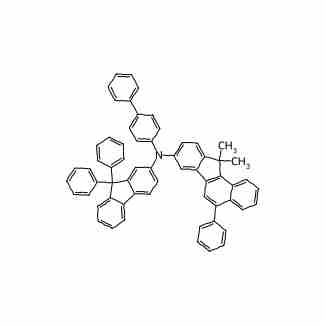 CC1(C)c2ccc(N(c3ccc(-c4ccccc4)cc3)c3ccc4c(c3)C(c3ccccc3)(c3ccccc3)c3ccccc3-4)cc2-c2cc(-c3ccccc3)c3ccccc3c21